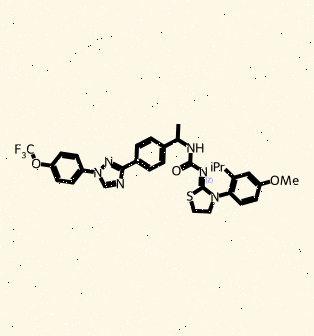 COc1ccc(N2CCS/C2=N\C(=O)NC(C)c2ccc(-c3ncn(-c4ccc(OC(F)(F)F)cc4)n3)cc2)c(C(C)C)c1